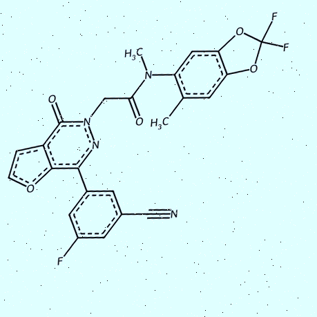 Cc1cc2c(cc1N(C)C(=O)Cn1nc(-c3cc(F)cc(C#N)c3)c3occc3c1=O)OC(F)(F)O2